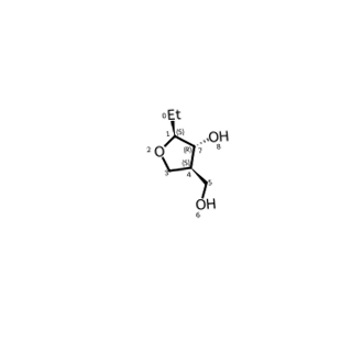 CC[C@@H]1OC[C@H](CO)[C@H]1O